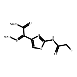 CON=C(C(=O)OC)c1csc(NC(=O)CCl)n1